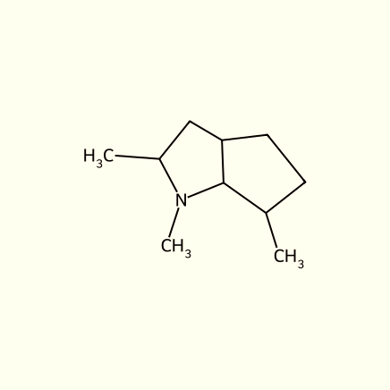 CC1CCC2CC(C)N(C)C12